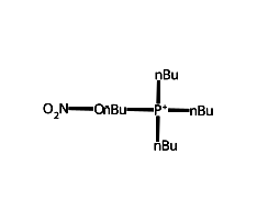 CCCC[P+](CCCC)(CCCC)CCCC.O=[N+]([O-])[O-]